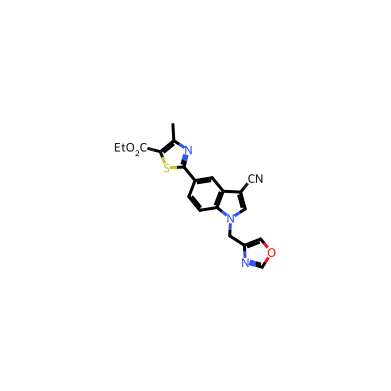 CCOC(=O)c1sc(-c2ccc3c(c2)c(C#N)cn3Cc2cocn2)nc1C